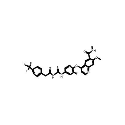 CNC(=O)c1cc2c(Oc3ccc(NC(=S)NC(=O)Cc4ccc(C(F)(F)F)cc4)cc3F)ccnc2cc1OC